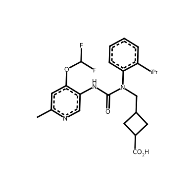 Cc1cc(OC(F)F)c(NC(=O)N(CC2CC(C(=O)O)C2)c2ccccc2C(C)C)cn1